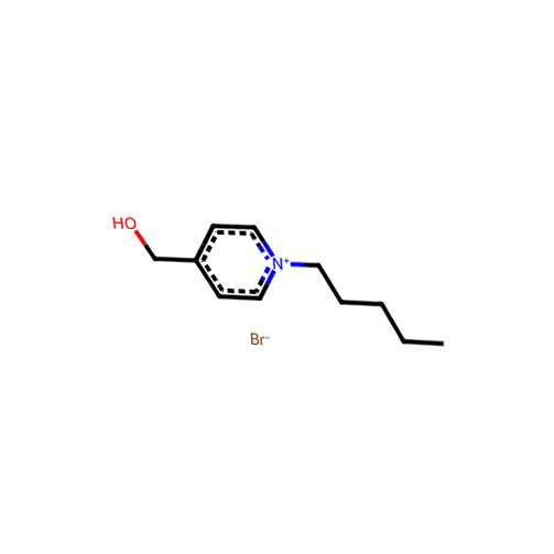 CCCCC[n+]1ccc(CO)cc1.[Br-]